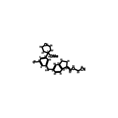 COC1(c2cc(F)cc(Sc3ccc4c(c3)CC/C4=N\OCC#N)c2)CCOCC1